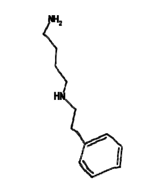 NCCCCNCCc1ccccc1